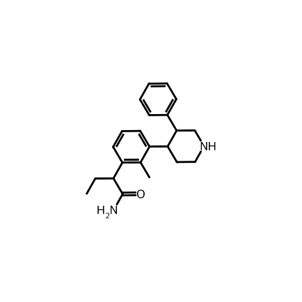 CCC(C(N)=O)c1cccc(C2CCNCC2c2ccccc2)c1C